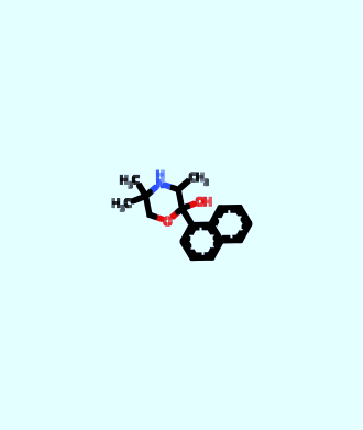 CC1NC(C)(C)COC1(O)c1cccc2ccccc12